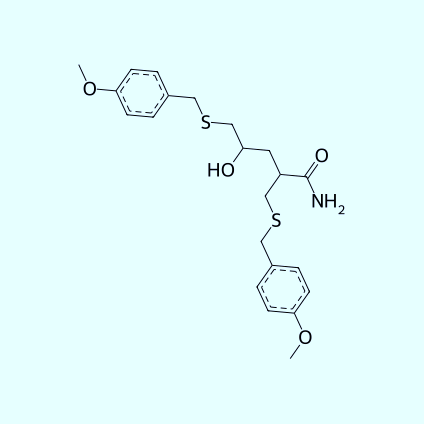 COc1ccc(CSCC(O)CC(CSCc2ccc(OC)cc2)C(N)=O)cc1